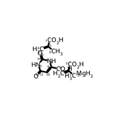 C=C(C)C(=O)O.C=C(C)C(=O)O.O=C(O)c1cc(=O)[nH]c(=O)[nH]1.[MgH2]